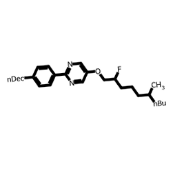 CCCCCCCCCCc1ccc(-c2ncc(OCC(F)CCCC(C)CCCC)cn2)cc1